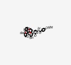 COc1ccc(C(=O)Nc2ccn([C@H]3C[C@H](O)[C@@H](C(O)C(c4ccccc4)(c4ccccc4OC)c4ccccc4OC)O3)c(=O)n2)cc1